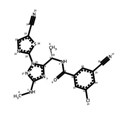 CNc1nc([C@H](C)NC(=O)c2cc(Cl)cc(C#N)c2)n(-c2ncc(C#N)s2)n1